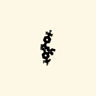 CCS(=O)(=O)c1cc(C(F)(F)F)ccc1-n1nnc(-c2ccc(C(F)(F)F)cc2)c1C